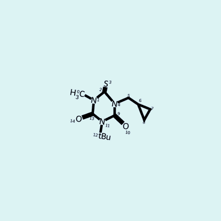 Cn1c(=S)n(CC2CC2)c(=O)n(C(C)(C)C)c1=O